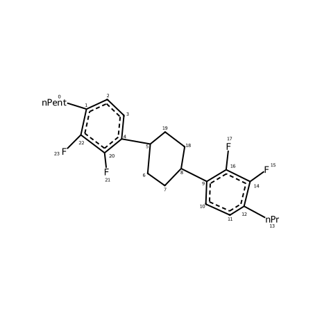 CCCCCc1ccc(C2CCC(c3ccc(CCC)c(F)c3F)CC2)c(F)c1F